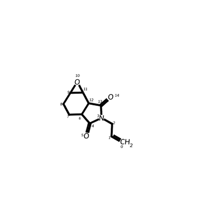 C=CCN1C(=O)C2CCC3OC3C2C1=O